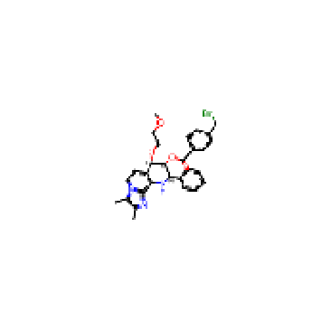 COCCO[C@@H]1c2ccn3c(C)c(C)nc3c2N[C@H](c2ccccc2)[C@H]1OC(=O)c1ccc(CBr)cc1